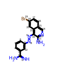 N=C(N)c1cccc(/N=N/c2c(N)ncc3ccc(Br)cc23)c1